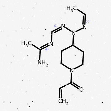 C=CC(=O)N1CCC(N(/N=C\C)/N=C\N=C(/C)N)CC1